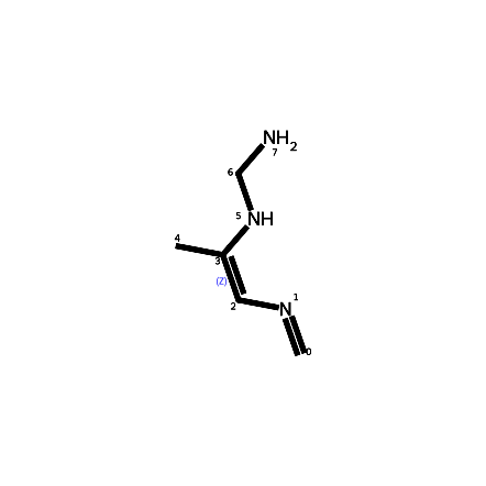 C=N/C=C(/C)NCN